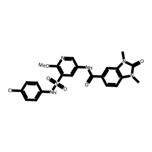 COc1ncc(NC(=O)c2ccc3c(c2)n(C)c(=O)n3C)cc1S(=O)(=O)Nc1ccc(Cl)cc1